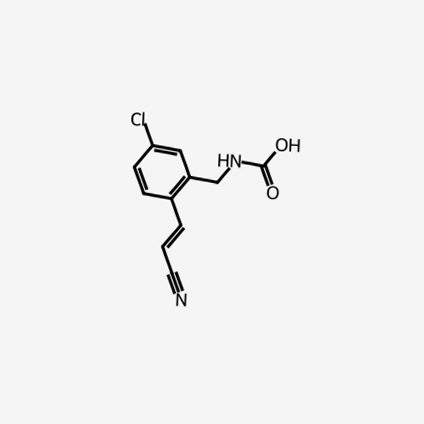 N#CC=Cc1ccc(Cl)cc1CNC(=O)O